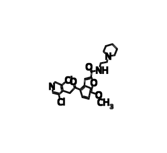 COc1ccc(C(=O)Cc2c(Cl)cncc2Cl)c2cc(C(=O)NCCN3CCCCC3)oc12